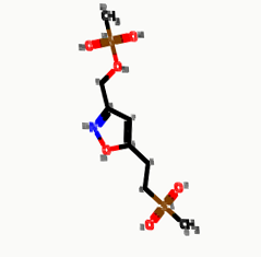 CS(=O)(=O)CCc1cc(COS(C)(=O)=O)no1